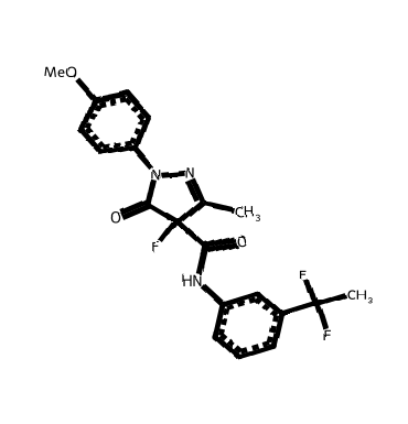 COc1ccc(N2N=C(C)C(F)(C(=O)Nc3cccc(C(C)(F)F)c3)C2=O)cc1